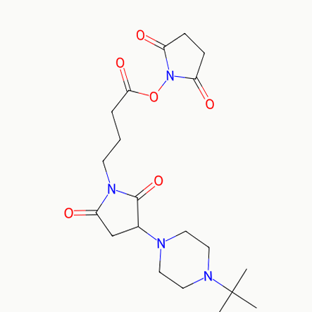 CC(C)(C)N1CCN(C2CC(=O)N(CCCC(=O)ON3C(=O)CCC3=O)C2=O)CC1